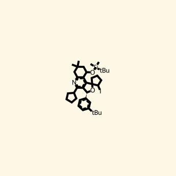 CC1(C)Cc2nc(C3CCCC3)c3c(c2C(O[Si](C)(C)C(C)(C)C)C1)C1(CCCC1I)O[C@@H]3c1cccc(C(C)(C)C)c1